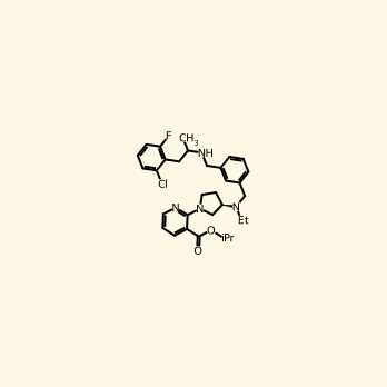 CCN(Cc1cccc(CNC(C)Cc2c(F)cccc2Cl)c1)[C@@H]1CCN(c2ncccc2C(=O)OC(C)C)C1